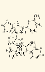 CC(C)CC(N)C(=O)NC(=O)[C@@](Cc1ccccc1)(C[C@H](O)[C@@H](N)Cc1ccccc1)C(=O)OC(C)(C)C